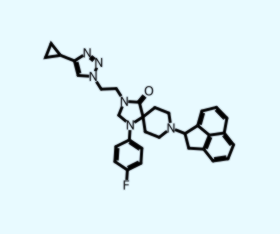 O=C1N(CCn2cc(C3CC3)nn2)CN(c2ccc(F)cc2)C12CCN(C1Cc3cccc4cccc1c34)CC2